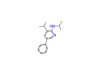 CC(C)Nc1ncc(-c2ccccc2)cc1C(C)C